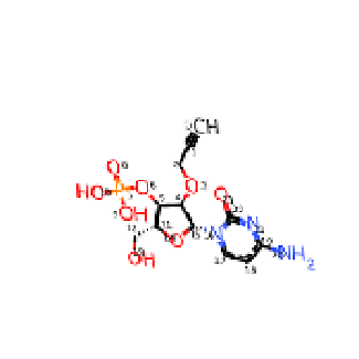 C#CCO[C@@H]1[C@H](OP(=O)(O)O)[C@@H](CO)O[C@H]1n1ccc(N)nc1=O